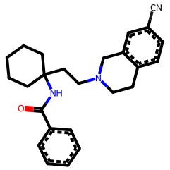 N#Cc1ccc2c(c1)CN(CCC1(NC(=O)c3ccccc3)CCCCC1)CC2